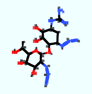 C[C@@H](O)C1O[C@H](O[C@@H]2C(N=[N+]=[N-])C[C@@H](NC(=N)N)C(O)C2O)C(N=[N+]=[N-])C(O)[C@@H]1O